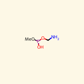 COP(O)OCN